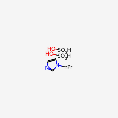 CCCn1ccnc1.O=S(=O)(O)O.O=S(=O)(O)O